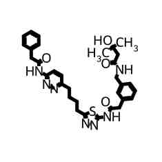 CC(C)(O)CC(=O)NCc1cccc(CC(=O)Nc2nnc(CCCCc3ccc(NC(=O)Cc4ccccc4)nn3)s2)c1